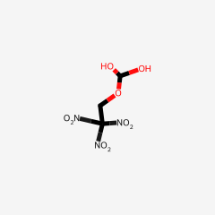 O=[N+]([O-])C(COC(O)O)([N+](=O)[O-])[N+](=O)[O-]